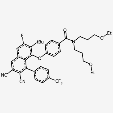 CCOCCCN(CCCOCC)C(=O)c1ccc(Oc2c(C(C)(C)C)c(F)cc3cc(C#N)c(C#N)c(-c4ccc(C(F)(F)F)cc4)c23)cc1